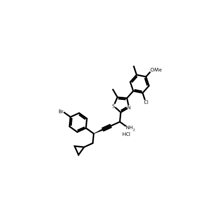 COc1cc(Cl)c(-c2nc(C(N)C#C[C@@H](CC3CC3)c3ccc(Br)cc3)sc2C)cc1C.Cl